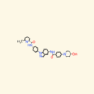 Cc1cccc(C(=O)Nc2ccc(-n3ncc4cc(NC(=O)c5ccc(N6CCC(O)CC6)cc5)ccc43)cc2)n1